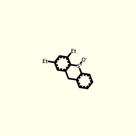 CCc1cc(CC)c2c(c1)Cc1ccccc1[S+]2[O-]